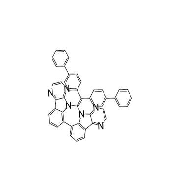 c1ccc(-c2ccc(C(c3ccc(-c4ccccc4)cc3)=c3n4c5nccnc5c5cccc(c6cccc7c8nccnc8n3c67)c54)cc2)cc1